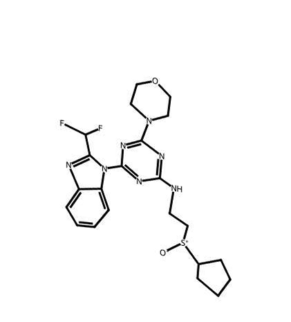 [O-][S+](CCNc1nc(N2CCOCC2)nc(-n2c(C(F)F)nc3ccccc32)n1)C1CCCC1